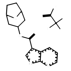 O=C(NC1CC2CCC(C1)N2)c1c[nH]c2ncccc12.O=C(O)C(F)(F)F